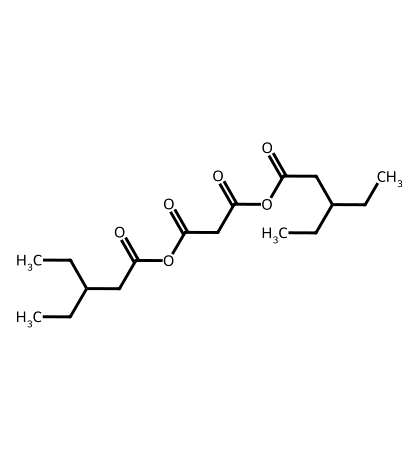 CCC(CC)CC(=O)OC(=O)CC(=O)OC(=O)CC(CC)CC